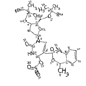 CC(OCC1=CN([C@H]2CC(O[Si](C)(C)C(C)(C)C)[C@@H](CO[Si](C)(C)C(C)(C)C)O2)C(=O)NC1O[SH](=O)=O)c1ccccc1[N+](=O)[O-]